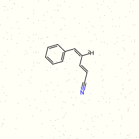 [2H]C(C=CC#N)=Cc1ccccc1